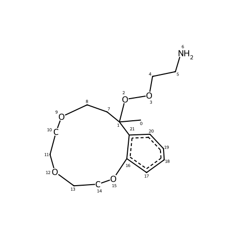 CC1(OOCCN)CCOCCOCCOc2ccccc21